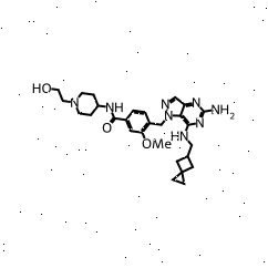 COc1cc(C(=O)NC2CCN(CCO)CC2)ccc1Cn1ncc2nc(N)nc(NCC3CC4(CC4)C3)c21